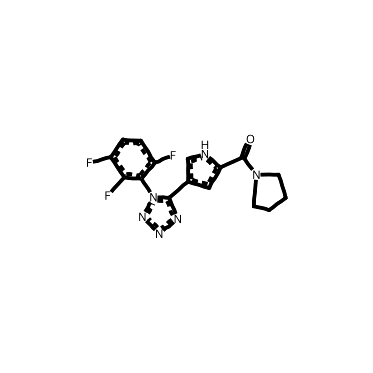 O=C(c1cc(-c2nnnn2-c2c(F)ccc(F)c2F)c[nH]1)N1CCCC1